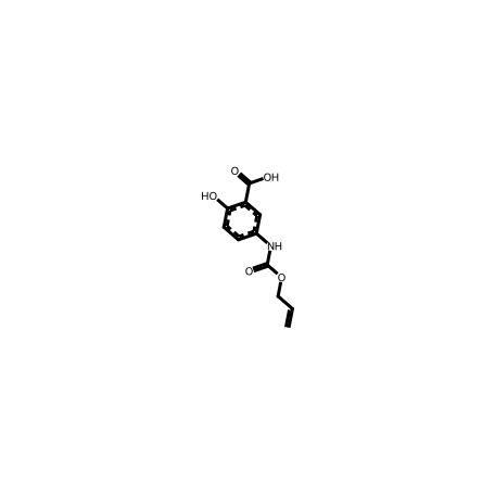 C=CCOC(=O)Nc1ccc(O)c(C(=O)O)c1